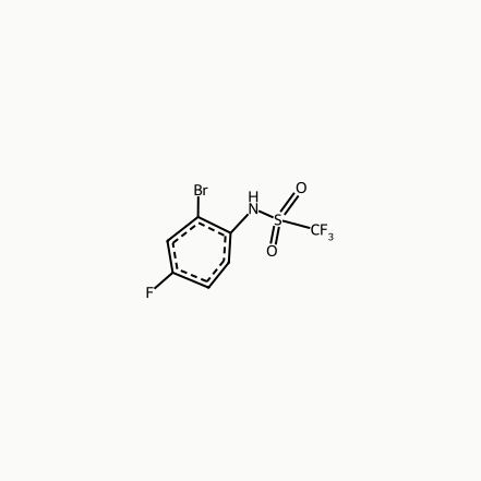 O=S(=O)(Nc1ccc(F)cc1Br)C(F)(F)F